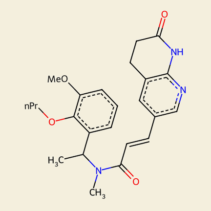 CCCOc1c(OC)cccc1C(C)N(C)C(=O)C=Cc1cnc2c(c1)CCC(=O)N2